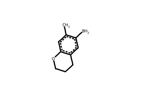 Bc1cc2c(cc1C)OCCC2